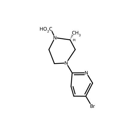 C[C@@H]1CN(c2ccc(Br)cn2)CCN1C(=O)O